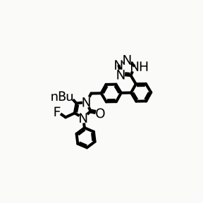 CCCCc1c(CF)n(-c2ccccc2)c(=O)n1Cc1ccc(-c2ccccc2-c2nnn[nH]2)cc1